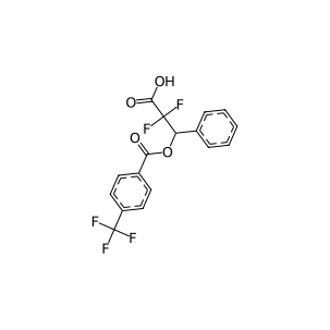 O=C(OC(c1ccccc1)C(F)(F)C(=O)O)c1ccc(C(F)(F)F)cc1